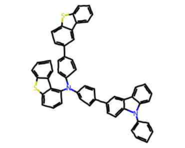 c1ccc(-n2c3ccccc3c3cc(-c4ccc(N(c5ccc(-c6ccc7sc8ccccc8c7c6)cc5)c5cccc6sc7ccccc7c56)cc4)ccc32)cc1